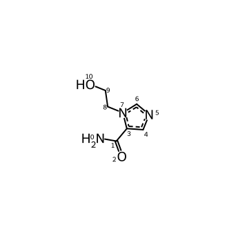 NC(=O)c1cncn1CCO